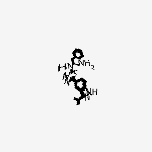 CC(C)c1n[nH]c2ccc(-c3nnc(N[C@H](CN)Cc4ccccc4)s3)cc12